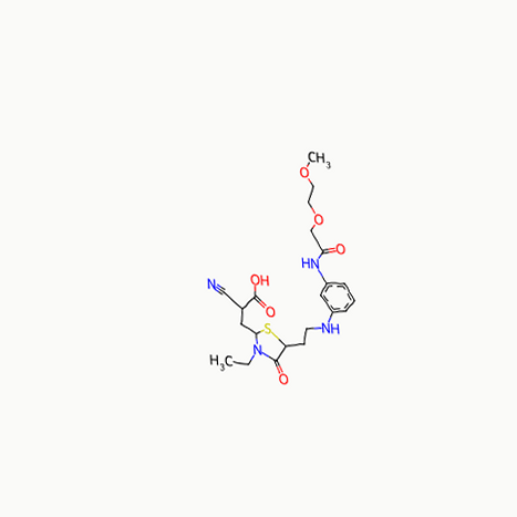 CCN1C(=O)C(CCNc2cccc(NC(=O)COCCOC)c2)SC1CC(C#N)C(=O)O